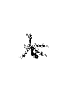 C=CC(=O)OCCOCCOC(C)OCC(COC(C)OCCOCCOC(=O)C=C)(COC(C)OCCOCCOC(=O)C=C)N(C(=O)COc1ccc2sc3ccccc3c(=O)c2c1)C(C)OCCOCCOC(=O)C=C